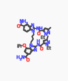 CCn1nc(C)cc1C(=O)Nc1nc2cc(C(N)=O)ccc2n1CCCCn1c(NC(=O)c2cc(C)nn2CC)nc2cc(C(N)=O)cc(OC(C)C)c21